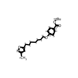 Cc1cc(CCCCCCCOc2ccc(C(=O)OC(C)(C)C)cc2)on1